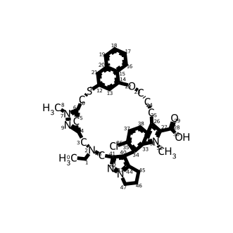 CCN1Cc2cc(n(C)n2)CSc2cc(c3ccccc3c2)OCCCc2c(C(=O)O)n(C)c3c(c(Cl)ccc23)-c2c(nn3c2CCC3)C1